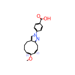 COC1=C/CCCc2cn(-c3ccc(C(=O)O)cc3)nc2C/C=C\1